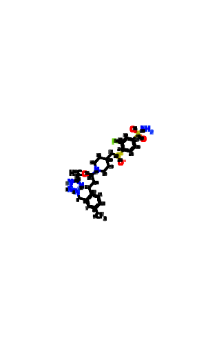 Cc1nnn(Cc2cc(C(F)(F)F)ccc2CCC(=O)N2CCC(C[S+]([O-])c3ccc(S(N)(=O)=O)cc3F)CC2)n1